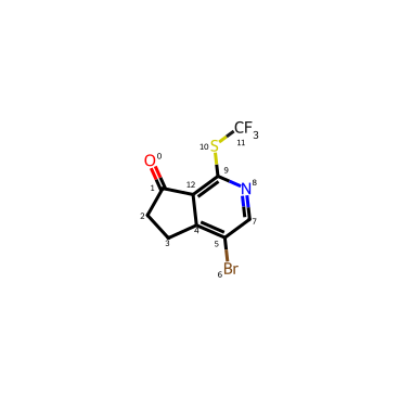 O=C1CCc2c(Br)cnc(SC(F)(F)F)c21